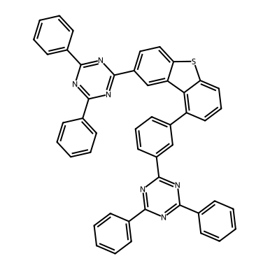 c1ccc(-c2nc(-c3ccccc3)nc(-c3cccc(-c4cccc5sc6ccc(-c7nc(-c8ccccc8)nc(-c8ccccc8)n7)cc6c45)c3)n2)cc1